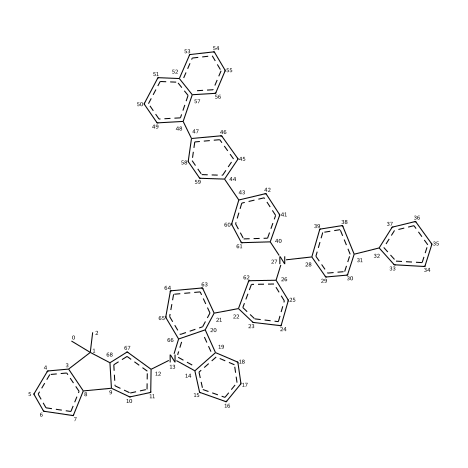 CC1(C)c2ccccc2-c2ccc(-n3c4ccccc4c4c(-c5cccc(N(c6ccc(-c7ccccc7)cc6)c6ccc(-c7ccc(-c8cccc9ccccc89)cc7)cc6)c5)cccc43)cc21